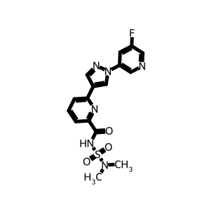 CN(C)S(=O)(=O)NC(=O)c1cccc(-c2cnn(-c3cncc(F)c3)c2)n1